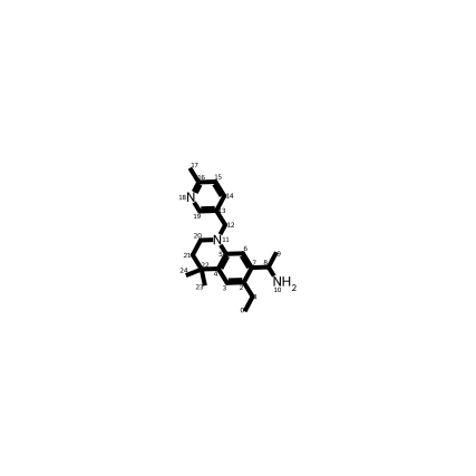 CCc1cc2c(cc1C(C)N)N(Cc1ccc(C)nc1)CCC2(C)C